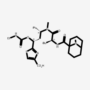 CCNC(=O)O[C@H](C[C@H](C(C)C)N(C)C(=O)[C@@H](NC(=O)C12CCCC(CCC1)N2C)C(C)CC)c1nc(C(=O)O)cs1